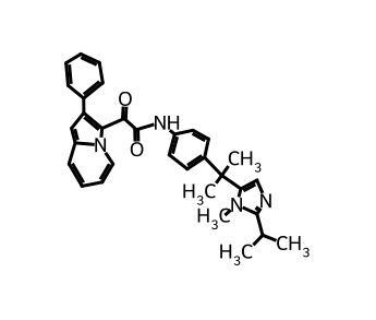 CC(C)c1ncc(C(C)(C)c2ccc(NC(=O)C(=O)c3c(-c4ccccc4)cc4ccccn34)cc2)n1C